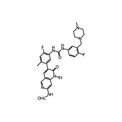 CCn1c(=O)c(-c2cc(NC(=O)Nc3ccc(F)c(CN4CCN(C)CC4)c3)c(F)cc2C)cc2cnc(NC=O)cc21